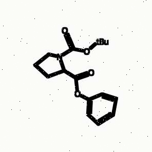 CC(C)(C)OC(=O)N1CCCC1C(=O)Oc1ccccc1